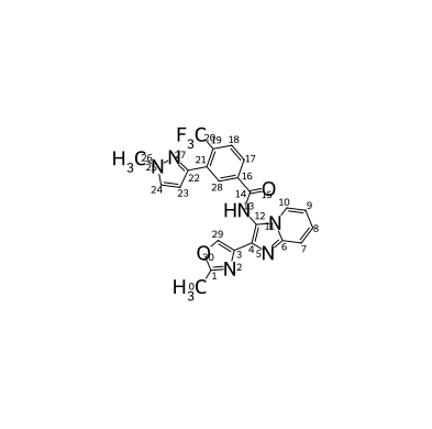 Cc1nc(-c2nc3ccccn3c2NC(=O)c2ccc(C(F)(F)F)c(-c3ccn(C)n3)c2)co1